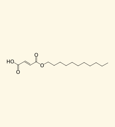 CCCCCCCCCCCOC(=O)/C=C/C(=O)O